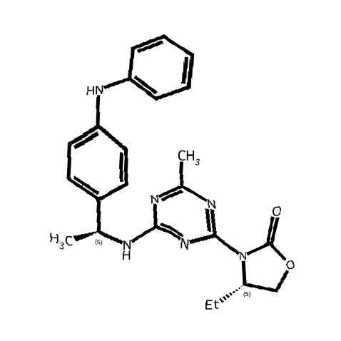 CC[C@H]1COC(=O)N1c1nc(C)nc(N[C@@H](C)c2ccc(Nc3ccccc3)cc2)n1